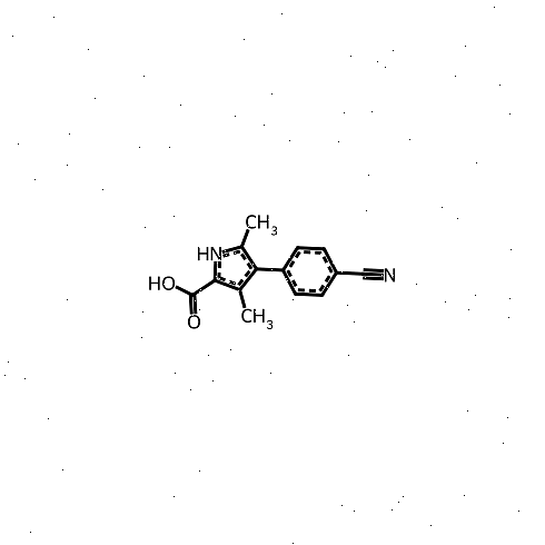 Cc1[nH]c(C(=O)O)c(C)c1-c1ccc(C#N)cc1